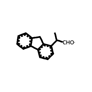 CC([C]=O)c1cccc2c1Cc1ccccc1-2